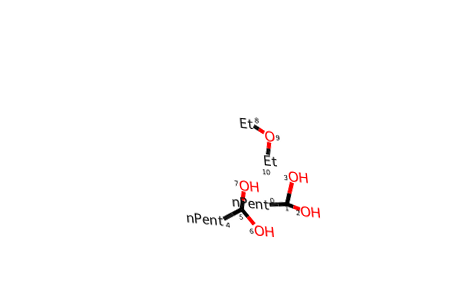 CCCCCC(O)O.CCCCCC(O)O.CCOCC